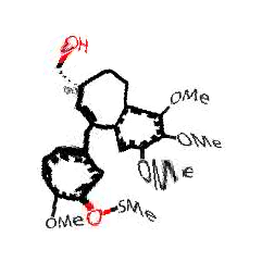 COc1ccc(C2=C[C@H](CO)CCc3c2cc(OC)c(OC)c3OC)cc1OSC